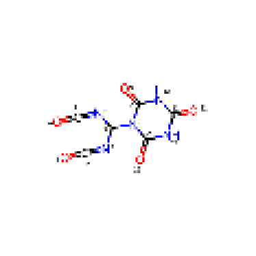 O=C=NC(N=C=O)n1c(=O)[nH]c(=O)[nH]c1=O